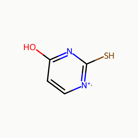 OC1=NC(S)=[N+]C=C1